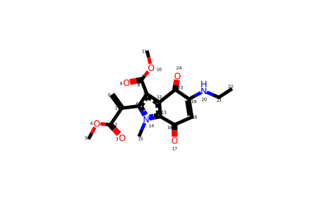 C=C(C(=O)OC)c1c(C(=O)OC)c2c(n1C)C(=O)C=C(NCC)C2=O